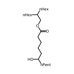 CCCCCCC(CCCCCC)COC(=O)CCCCC(O)CCCCC